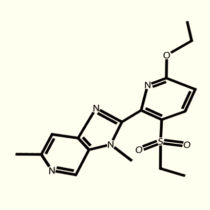 CCOc1ccc(S(=O)(=O)CC)c(-c2nc3cc(C)ncc3n2C)n1